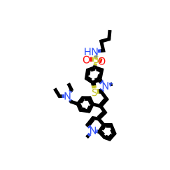 CCCCNS(=O)(=O)c1ccc2sc(/C=C(/C=C3\C=CN(C)c4ccccc43)c3ccc(CN(CC)CC)cc3)[n+](C)c2c1